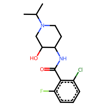 CC(C)N1CCC(NC(=O)c2c(F)cccc2Cl)C(O)C1